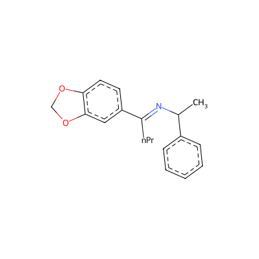 CCCC(=NC(C)c1ccccc1)c1ccc2c(c1)OCO2